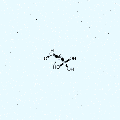 OP(O)(O)=S.[Li+].[O-][GeH]=[S]